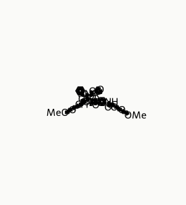 COCCOCCOCC(=O)Nc1ccc(S(=O)(=O)N(CC(C)C)C[C@@H](OC(=O)COCCOCCOC)[C@H](Cc2ccccc2)NC(=O)O[C@H]2CCOC2)cc1